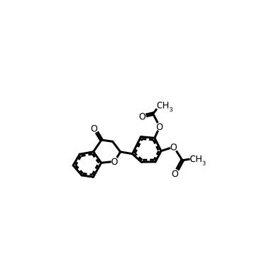 CC(=O)Oc1ccc(C2CC(=O)c3ccccc3O2)cc1OC(C)=O